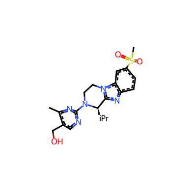 Cc1nc(N2CCn3c(nc4ccc(S(C)(=O)=O)cc43)[C@H]2C(C)C)ncc1CO